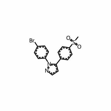 CS(=O)(=O)c1ccc(-c2ccnn2-c2ccc(Br)cc2)cc1